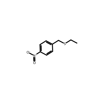 CCSCc1ccc([N+](=O)[O-])cc1